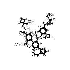 COC(=O)c1nc(C(=O)NCC2(CO)CCC2)ccc1-c1cc2c(cc1C(=O)Nc1c(C)cc(CNC(=O)OC(C)(C)C)cc1C)-c1sccc1CCO2